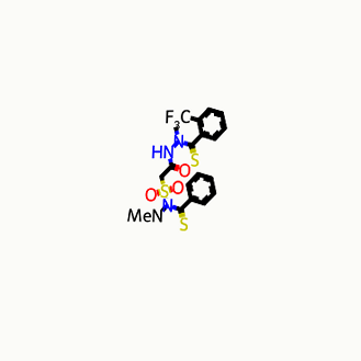 CNN(C(=S)c1ccccc1)S(=O)(=O)CC(=O)NN(C)C(=S)c1ccccc1C(F)(F)F